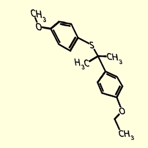 CCOc1ccc(C(C)(C)Sc2ccc(OC)cc2)cc1